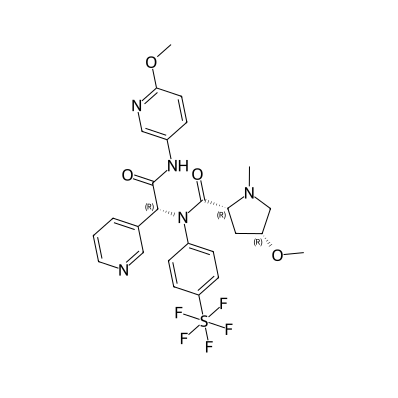 COc1ccc(NC(=O)[C@@H](c2cccnc2)N(C(=O)[C@H]2C[C@@H](OC)CN2C)c2ccc(S(F)(F)(F)(F)F)cc2)cn1